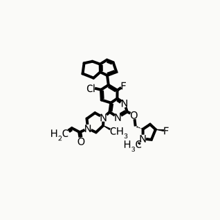 C=CC(=O)N1CCN(c2nc(OC[C@@H]3C[C@@H](F)CN3C)nc3c(F)c(-c4cccc5c4CCCC5)c(Cl)cc23)[C@@H](C)C1